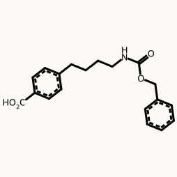 O=C(NCCCCc1ccc(C(=O)O)cc1)OCc1ccccc1